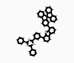 c1ccc(-c2nc(-c3ccccc3)nc(-c3cccc(-c4cccc5c4oc4c(-c6ccc7c(c6)C6(c8ccccc8-c8ccccc86)c6ccccc6-7)cccc45)c3)n2)cc1